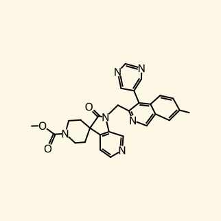 COC(=O)N1CCC2(CC1)C(=O)N(Cc1ncc3cc(C)ccc3c1-c1cncnc1)c1cnccc12